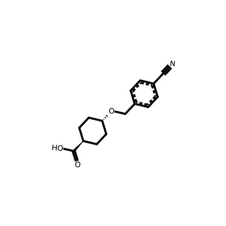 N#Cc1ccc(CO[C@H]2CC[C@H](C(=O)O)CC2)cc1